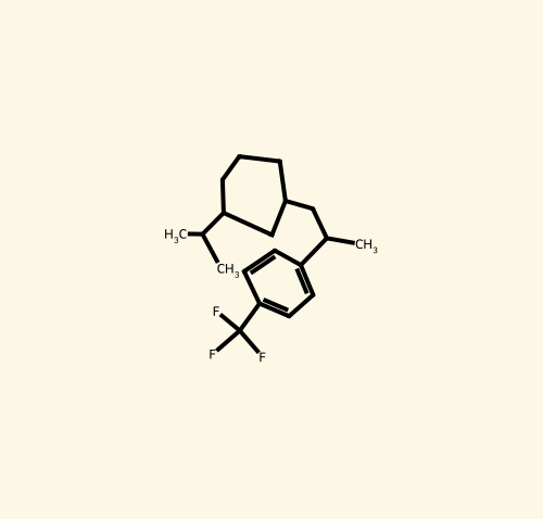 CC(CC1CCCC(C(C)C)C1)c1ccc(C(F)(F)F)cc1